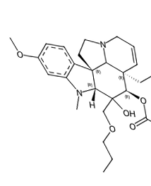 CCCOCC1(O)[C@H](OC(C)=O)[C@]2(CC)C=CCN3CC[C@@]4(c5ccc(OC)cc5N(C)[C@@H]14)C32